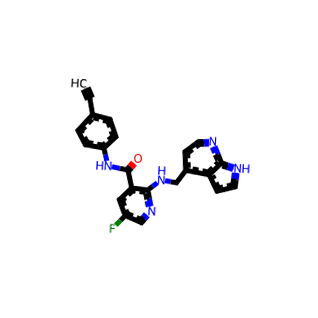 C#Cc1ccc(NC(=O)c2cc(F)cnc2NCc2ccnc3[nH]ccc23)cc1